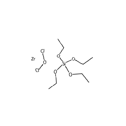 CCO[Si](OCC)(OCC)OCC.ClOCl.[Zr]